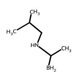 BC(C)NCC(C)C